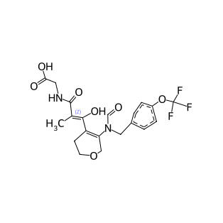 C/C(C(=O)NCC(=O)O)=C(/O)C1=C(N(C=O)Cc2ccc(OC(F)(F)F)cc2)COCC1